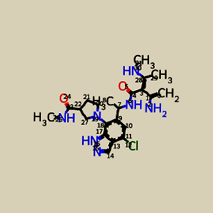 C=C(N)/C(C(=O)NC(C)c1cc(Cl)c2cn[nH]c2c1N1CCC(C(=O)NC)C1)=C(\C)NC